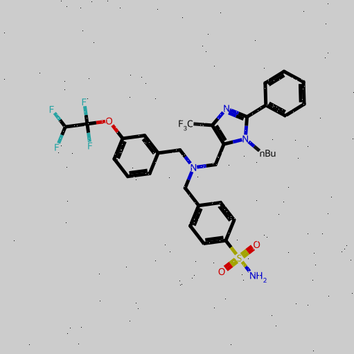 CCCCn1c(-c2ccccc2)nc(C(F)(F)F)c1CN(Cc1ccc(S(N)(=O)=O)cc1)Cc1cccc(OC(F)(F)C(F)F)c1